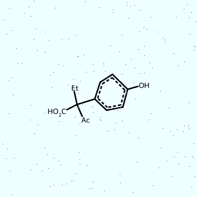 CCC(C(C)=O)(C(=O)O)c1ccc(O)cc1